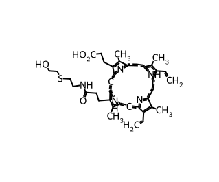 C=CC1=C(C)c2cc3[nH]c(cc4nc(cc5[nH]c(cc1n2)c(C)c5CCC(=O)NCCSCCO)C(CCC(=O)O)=C4C)c(C)c3C=C